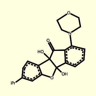 CC(C)c1ccc2c(c1)OC1(O)c3cccc(N4CCOCC4)c3C(=O)C21O